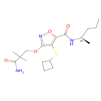 CCC[C@@H](C)NC(=O)c1onc(OCC(C)(C)C(N)=O)c1SC1CCC1